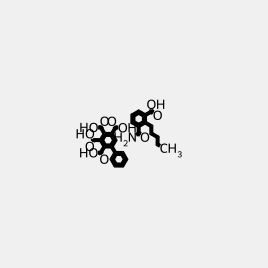 CCCCCc1c(C(N)=O)cccc1C(=O)O.O=C(O)c1cc(-c2ccccc2)c(C(=O)O)c(C(=O)O)c1C(=O)O